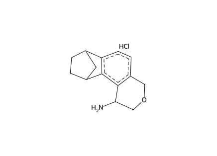 Cl.NC1COCc2ccc3c(c21)C1CCC3C1